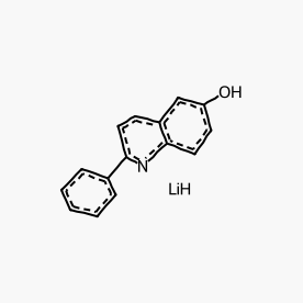 Oc1ccc2nc(-c3ccccc3)ccc2c1.[LiH]